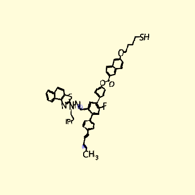 C/C=C/C#Cc1ccc(-c2cc(F)c(-c3ccc(OC(=O)c4ccc5cc(OCCCCS)ccc5c4)cc3)cc2/C=N/N(CCC(C)C)c2nc3c(ccc4ccccc43)s2)cc1